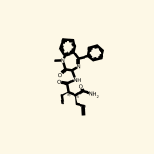 C=CC[C@H](C(N)=O)[C@@H](CC)C(=O)NC1N=C(c2ccccc2)c2ccccc2N(C)C1=O